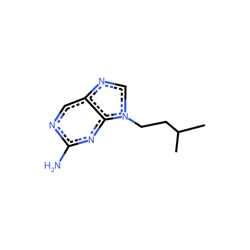 CC(C)CCn1cnc2cnc(N)nc21